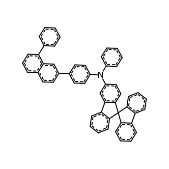 c1ccc(-c2cccc3ccc(-c4ccc(N(c5ccccc5)c5ccc6c(c5)-c5ccccc5C65c6ccccc6-c6ccccc65)cc4)cc23)cc1